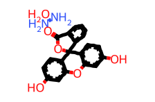 NN.O.O=C1OC2(c3ccc(O)cc3Oc3cc(O)ccc32)c2ccccc21